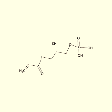 C=CC(=O)OCCCOP(=O)(O)O.[KH]